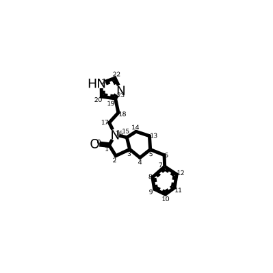 O=C1CC2CC(Cc3ccccc3)CCC2N1CCc1c[nH]cn1